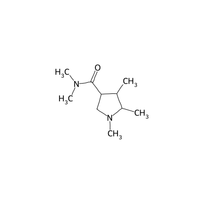 CC1C(C(=O)N(C)C)CN(C)C1C